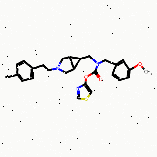 Cc1ccc(CCN2CC3C(C2)C3CN(Cc2cccc(OC(F)(F)F)c2)C(=O)Oc2cscn2)cc1